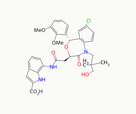 COc1cccc([C@H]2O[C@H](CC(=O)Nc3cccc4cc(C(=O)O)[nH]c34)C(=O)N(CC(C)(C)CO)c3ccc(Cl)cc32)c1OC